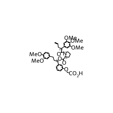 C=CC[C@H](C(=O)N1CCC[C@H]1C(=O)O[C@H](CCc1ccc(OC)c(OC)c1)c1cccc(OCC(=O)O)c1)c1cc(OC)c(OC)c(OC)c1